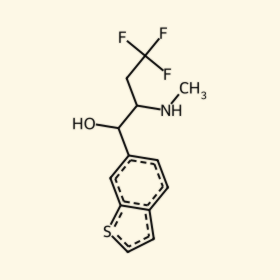 CNC(CC(F)(F)F)C(O)c1ccc2ccsc2c1